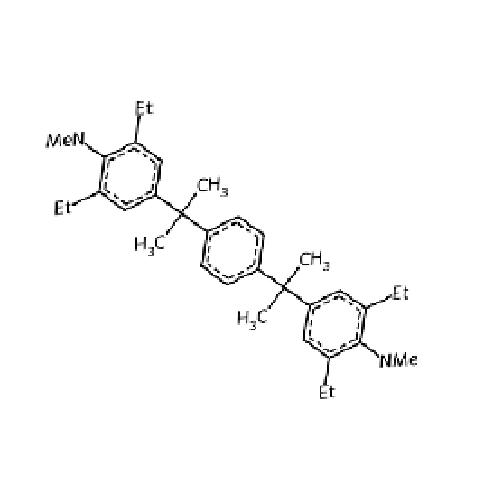 CCc1cc(C(C)(C)c2ccc(C(C)(C)c3cc(CC)c(NC)c(CC)c3)cc2)cc(CC)c1NC